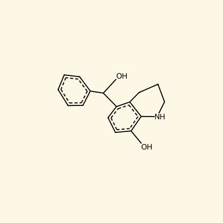 Oc1ccc(C(O)c2ccccc2)c2c1NCCC2